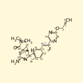 C#CCOc1cnc(/C(F)=C/c2ccc3c(c2)[C@@]2(C3)N=C(N)S[C@@]3(C(=O)N(C)C)C[C@H]32)cn1